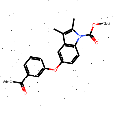 COC(=O)c1cccc(Oc2ccc3c(c2)c(C)c(C)n3C(=O)OC(C)(C)C)c1